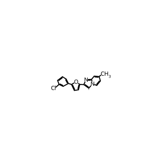 Cc1ccn2[c]c(-c3ccc(-c4cccc(Cl)c4)o3)nc2c1